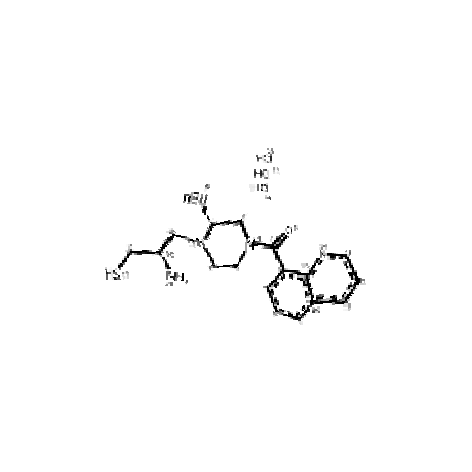 CCCC[C@H]1CN(C(=O)c2cccc3cccnc23)CCN1C[C@@H](N)CS.Cl.Cl.Cl